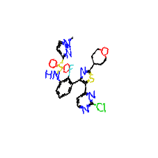 Cn1ccc(S(=O)(=O)Nc2cccc(-c3nc(C4CCOCC4)sc3-c3ccnc(Cl)n3)c2F)n1